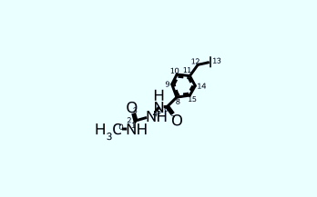 CNC(=O)NNC(=O)c1ccc(CI)cc1